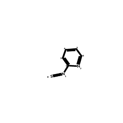 S=Nc1ccccn1